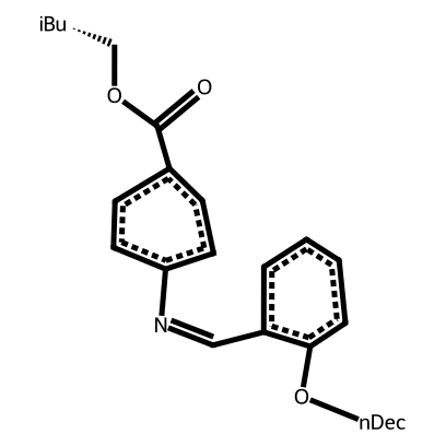 CCCCCCCCCCOc1ccccc1/C=N\c1ccc(C(=O)OC[C@@H](C)CC)cc1